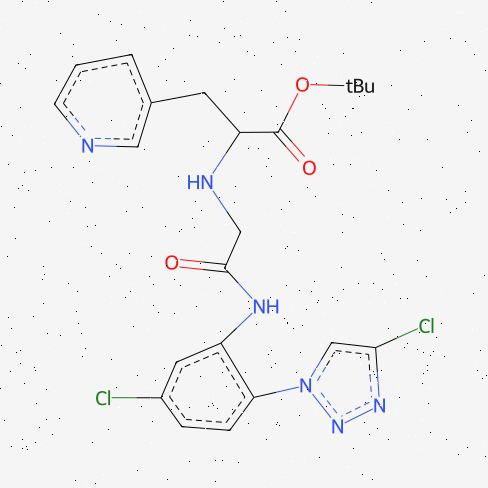 CC(C)(C)OC(=O)C(Cc1cccnc1)NCC(=O)Nc1cc(Cl)ccc1-n1cc(Cl)nn1